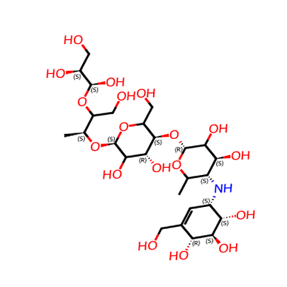 CC1O[C@H](O[C@@H]2C(CO)O[C@H](O[C@@H](C)C(CO)O[C@H](O)[C@@H](O)CO)C(O)[C@H]2O)C(O)[C@@H](O)[C@@H]1N[C@H]1C=C(CO)[C@@H](O)[C@H](O)[C@H]1O